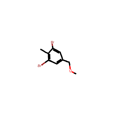 COCc1cc(Br)c(C)c(Br)c1